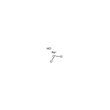 Cl.[Na+].[O-][Cl+][O-]